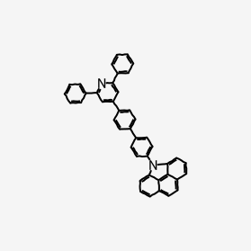 c1ccc(-c2cc(-c3ccc(-c4ccc(-n5c6cccc7ccc8cccc5c8c76)cc4)cc3)cc(-c3ccccc3)n2)cc1